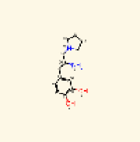 N[C@@H](Cc1ccc(O)c(O)c1)CN1CCCC1